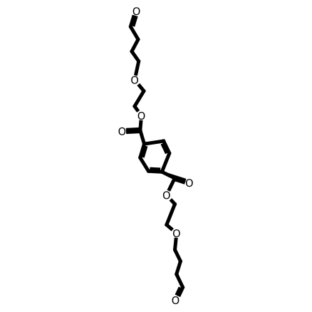 O=CCCCOCCOC(=O)c1ccc(C(=O)OCCOCCCC=O)cc1